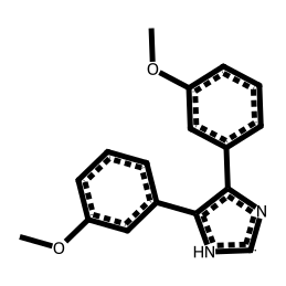 COc1cccc(-c2n[c][nH]c2-c2cccc(OC)c2)c1